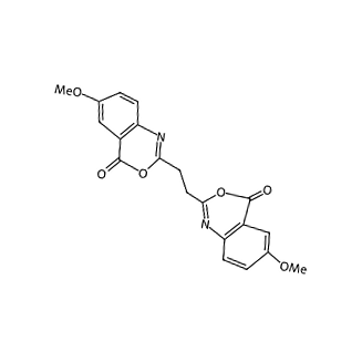 COc1ccc2nc(CCc3nc4ccc(OC)cc4c(=O)o3)oc(=O)c2c1